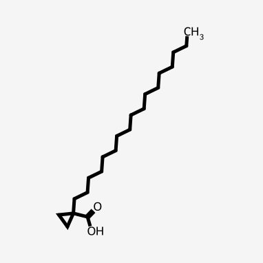 CCCCCCCCCCCCCCCCCC1(C(=O)O)CC1